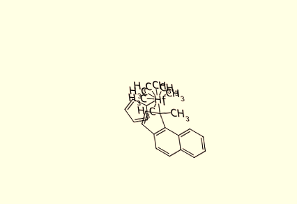 C[C]1([Hf]([CH3])([CH3])([CH3])([CH3])([CH3])([CH3])([CH3])[CH]2C=CC=C2)C=Cc2ccc3ccccc3c21